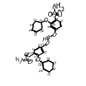 NS(=O)(=O)c1ccc(OBOc2ccc(S(N)(=O)=O)c(OC3CCCCC3)c2)cc1OC1CCCCC1